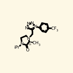 CC(C)N1CCN(Cc2nnnn2-c2ccc(C(F)(F)F)cc2)[C@@H](C)C1=O